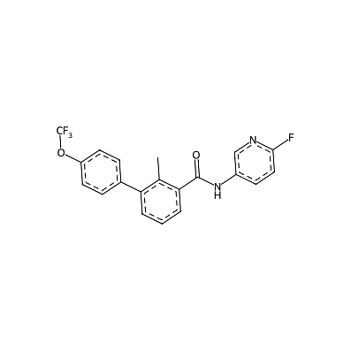 Cc1c(C(=O)Nc2ccc(F)nc2)cccc1-c1ccc(OC(F)(F)F)cc1